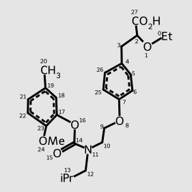 CCOC(Cc1ccc(OCCN(CC(C)C)C(=O)Oc2cc(C)ccc2OC)cc1)C(=O)O